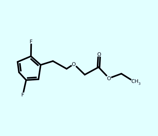 CCOC(=O)COCCc1cc(F)ccc1F